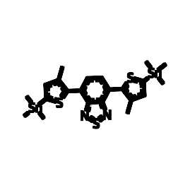 Cc1c[c]([Sn]([CH3])([CH3])[CH3])sc1-c1ccc(-c2s[c]([Sn]([CH3])([CH3])[CH3])cc2C)c2nsnc12